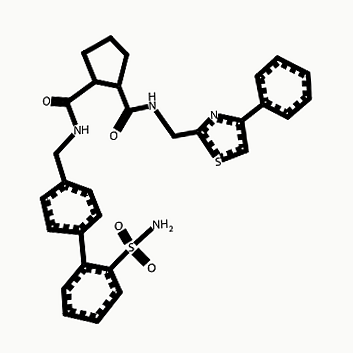 NS(=O)(=O)c1ccccc1-c1ccc(CNC(=O)C2CCCC2C(=O)NCc2nc(-c3ccccc3)cs2)cc1